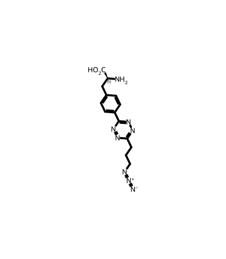 [N-]=[N+]=NCCCc1nnc(-c2ccc(C[C@H](N)C(=O)O)cc2)nn1